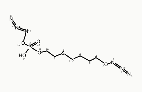 [N-]=[N+]=NOCCCSSCCOP(=O)(O)ON=[N+]=[N-]